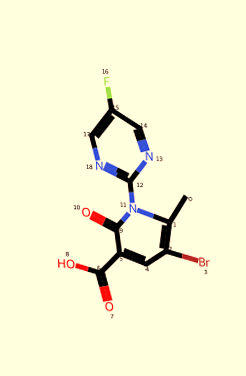 Cc1c(Br)cc(C(=O)O)c(=O)n1-c1ncc(F)cn1